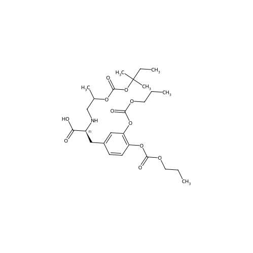 CCCOC(=O)Oc1ccc(C[C@H](NCC(C)OC(=O)OC(C)(C)CC)C(=O)O)cc1OC(=O)OCCC